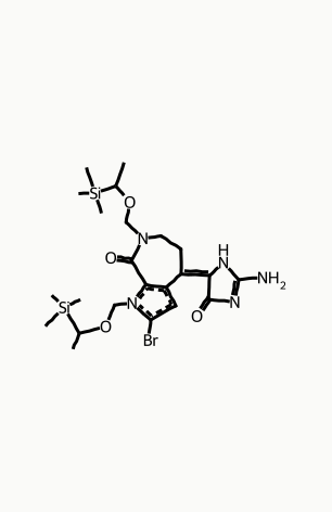 CC(OCN1CCC(=C2NC(N)=NC2=O)c2cc(Br)n(COC(C)[Si](C)(C)C)c2C1=O)[Si](C)(C)C